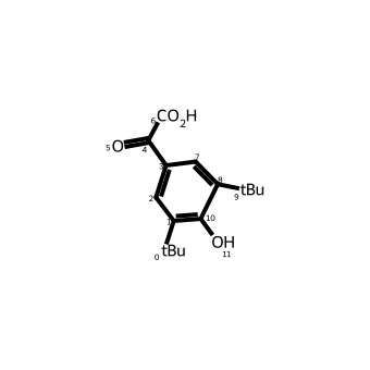 CC(C)(C)c1cc(C(=O)C(=O)O)cc(C(C)(C)C)c1O